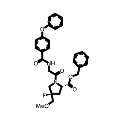 COC[C@@]1(F)C[C@@H](C(=O)OCc2ccccc2)N(C(=O)CNC(=O)c2ccc(Oc3ccccc3)cc2)C1